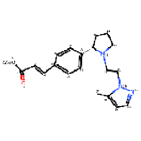 COC(=O)C=Cc1ccc([C@@H]2CCCN2CCn2nccc2C)cc1